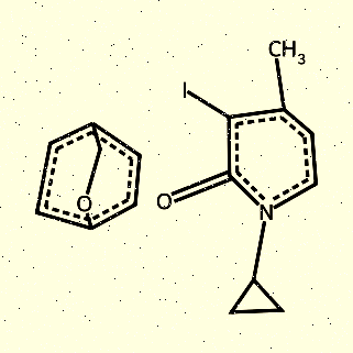 Cc1ccn(C2CC2)c(=O)c1I.c1cc2ccc1CO2